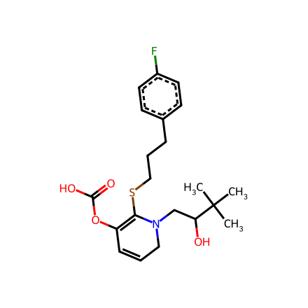 CC(C)(C)C(O)CN1CC=CC(OC(=O)O)=C1SCCCc1ccc(F)cc1